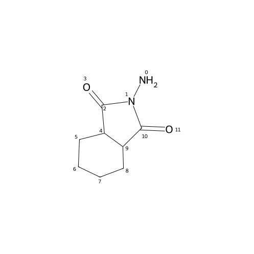 NN1C(=O)C2CCCCC2C1=O